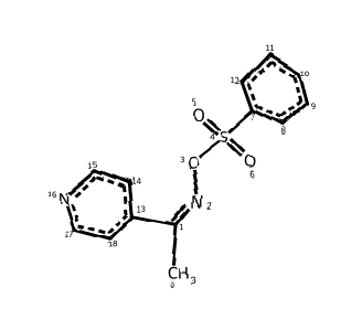 CC(=NOS(=O)(=O)c1ccccc1)c1ccncc1